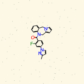 Cc1ccn(-c2ccc(C(=O)N3Cc4cccn4Cc4ccccc43)c(F)c2)n1